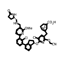 COc1nc(-c2cccc(-c3cccc4c3CC[C@@H]4Oc3nc(OCC#N)c(CN4CC5(C(=O)O)CCC4CC5)cc3Cl)c2Cl)ccc1CNC[C@@H]1CCC(=O)N1